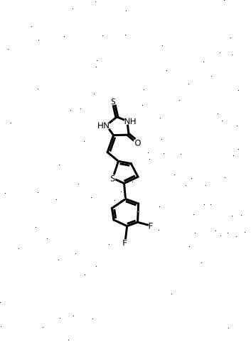 O=C1NC(=S)NC1=Cc1ccc(-c2ccc(F)c(F)c2)s1